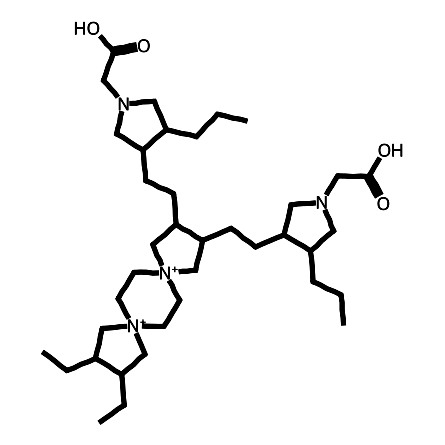 CCCC1CN(CC(=O)O)CC1CCC1C[N+]2(CC[N+]3(CC2)CC(CC)C(CC)C3)CC1CCC1CN(CC(=O)O)CC1CCC